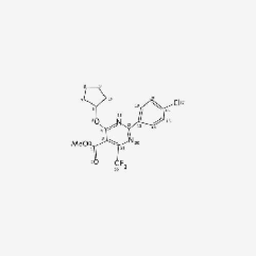 COC(=O)c1c(OC2CCCC2)nc(-c2ccc(Cl)cc2)nc1C(F)(F)F